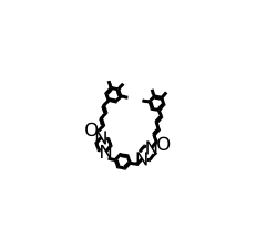 Cc1cc(/C=C/C=C/C(=O)N2CCN(Cc3ccc(CN4CCN(C(=O)/C=C/C=C/c5cc(C)c(C)c(C)c5)CC4)cc3)CC2)cc(C)c1C